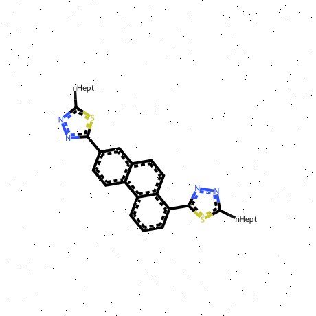 CCCCCCCc1nnc(-c2ccc3c(ccc4c(-c5nnc(CCCCCCC)s5)cccc43)c2)s1